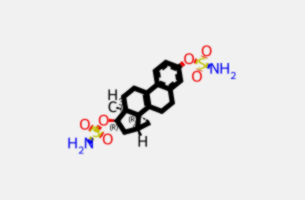 C[C@]12CCC3=C(CCc4cc(OS(N)(=O)=O)ccc43)[C@]13C[C@@H]3C[C@H]2OS(N)(=O)=O